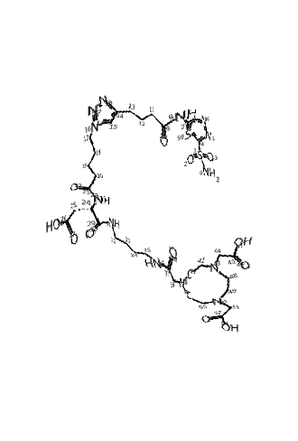 NS(=O)(=O)c1nnc(NC(=O)CCCc2cn(CCCCC(=O)N[C@@H](CC(=O)O)C(=O)NCCCCNC(=O)CN3CCN(CC(=O)O)CCN(CC(=O)O)CC3)nn2)s1